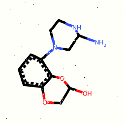 NC1CN(c2cccc3c2OC(O)CO3)CCN1